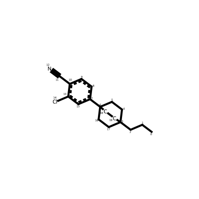 CCCC12CCC(c3ccc(C#N)c(Cl)c3)(CC1)CC2